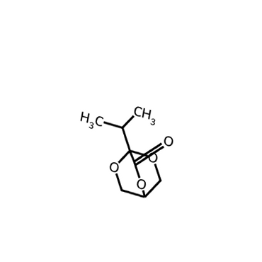 CC(C)C12OCC(CO1)OC2=O